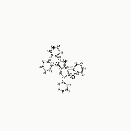 c1ccc(-c2cc3c(nc(-c4ccncc4)n3-c3ccccc3)c3c2oc2ccccc23)cc1